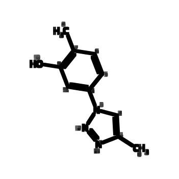 Cc1cn(-c2ccc(C)c(O)c2)nn1